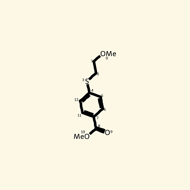 COCCSc1ccc(C(=O)OC)cc1